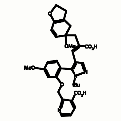 COc1ccc(-c2c(C=C(CC3(OC)C=CC4=C(CCO4)C3)C(=O)O)cnn2C(C)(C)C)c(OCc2ncccc2C(=O)O)c1